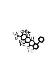 CN(C)C1C(O)=C(C(N)=O)C(=O)[C@@]2(O)C(O)=C3C(=O)c4c(O)ccc(-c5ccccc5)c4C[C@H]3C[C@@H]12